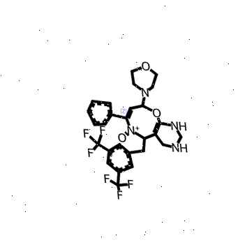 O=[N+]1/C(c2ccccc2)=C\C(N2CCOCC2)OC2=C(CNCN2)C1Cc1cc(C(F)(F)F)cc(C(F)(F)F)c1